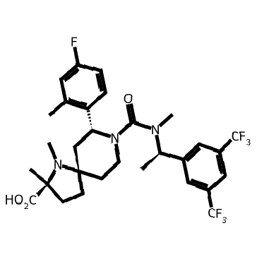 Cc1cc(F)ccc1[C@H]1C[C@@]2(CCN1C(=O)N(C)[C@H](C)c1cc(C(F)(F)F)cc(C(F)(F)F)c1)CC[C@@](C)(C(=O)O)N2C